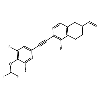 C=CC1CCc2c(ccc(C#Cc3cc(F)c(OC(F)F)c(F)c3)c2F)C1